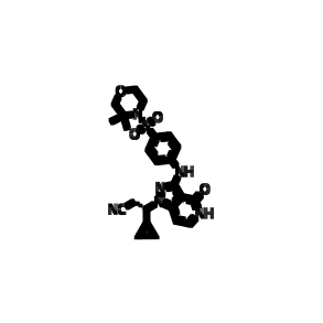 CC1(C)COCCN1S(=O)(=O)c1ccc(Nc2nn([C@@H](CC#N)C3CC3)c3cc[nH]c(=O)c23)cc1